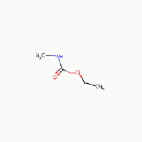 [CH2]COC(=O)NC